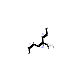 BC(=C/C=C\C)/C=C/C